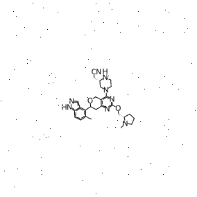 Cc1ccc2[nH]ncc2c1C1Cc2nc(OC[C@@H]3CCCN3C)nc(N3CCN[C@@H](CC#N)C3)c2CO1